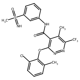 Cc1cccc(Cl)c1Oc1nnc(C(F)(F)F)c(C)c1C(=O)Nc1cccc(S(C)(=N)=O)c1